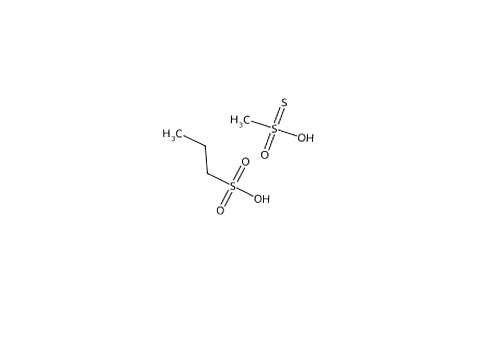 CCCS(=O)(=O)O.CS(=O)(O)=S